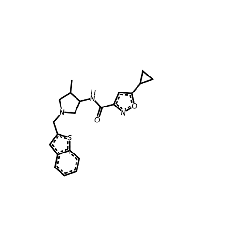 CC1CN(Cc2cc3ccccc3s2)CC1NC(=O)c1cc(C2CC2)on1